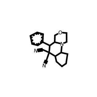 N#CC1(C#N)C2CCCCC2N2CCOCC2C1c1ccccc1